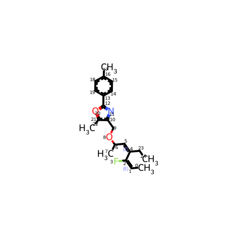 C/C=C(F)\C(=C/C(C)OCc1nc(-c2ccc(C)cc2)oc1C)CC